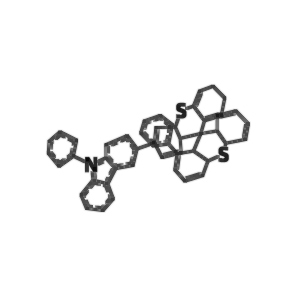 C1=CC2SC3C=CC=C(c4ccccc4)C3C3(C4=CCCC=C4SC4C=C(c5ccc6c(c5)c5ccccc5n6-c5ccccc5)C=CC43)C2C=C1